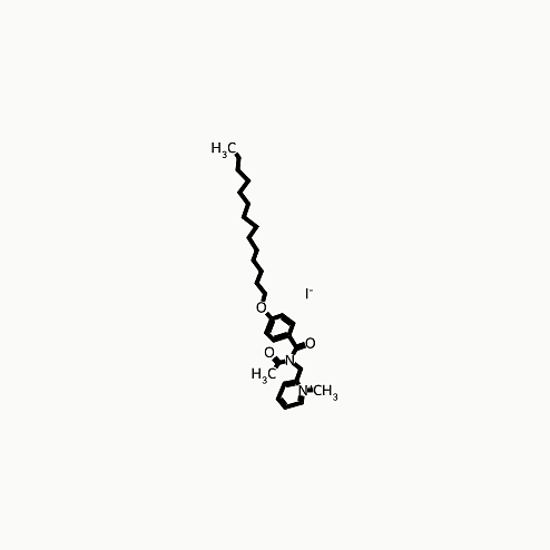 CCCCCCCCCCCCCCOc1ccc(C(=O)N(Cc2cccc[n+]2C)C(C)=O)cc1.[I-]